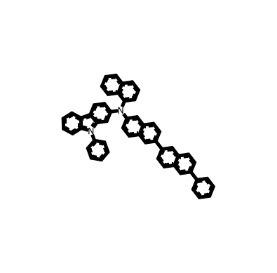 c1ccc(-c2ccc3cc(-c4ccc5cc(N(c6ccc7c8ccccc8n(-c8ccccc8)c7c6)c6cccc7ccccc67)ccc5c4)ccc3c2)cc1